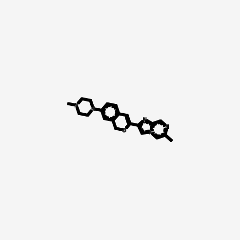 Cc1cn2cc(C3=Cc4ccc(N5CCN(C)CC5)cc4CO3)nc2cn1